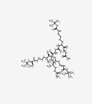 CC(C)(C)OC(=O)NCCCC[C@H](NC(=O)CNC(=O)[C@](CCCCNC(=O)OC(C)(C)C)(NC(=O)[C@@H](N)CCC(N)=O)C(=O)[C@@H](N)CCCCNC(=O)OC(C)(C)C)C(=O)NCC(=O)O